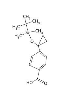 CC(C)(C)[Si](C)(C)OC1(c2ccc(C(=O)O)cc2)CC1